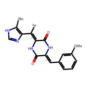 [2H]/C(c1nc[nH]c1C(C)(C)C)=c1/[nH]c(=O)/c(=C/c2cccc(OC)c2)[nH]c1=O